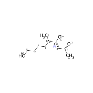 CC(=O)/C=C(\O)N(C)CCCCO